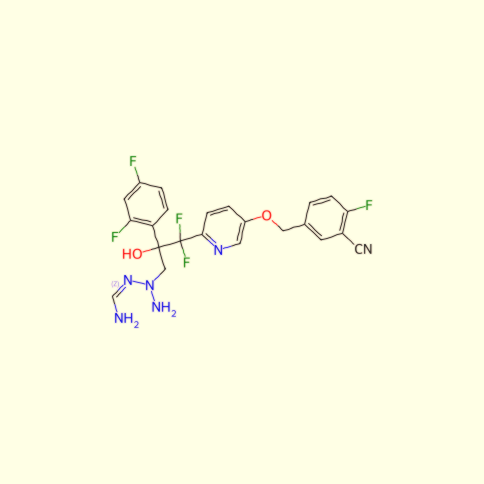 N#Cc1cc(COc2ccc(C(F)(F)C(O)(CN(N)/N=C\N)c3ccc(F)cc3F)nc2)ccc1F